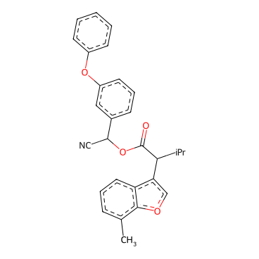 Cc1cccc2c(C(C(=O)OC(C#N)c3cccc(Oc4ccccc4)c3)C(C)C)coc12